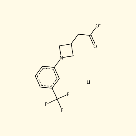 O=C([O-])CC1CN(c2cccc(C(F)(F)F)c2)C1.[Li+]